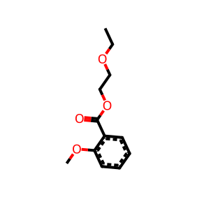 CCOCCOC(=O)c1ccccc1OC